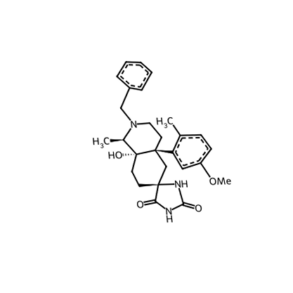 COc1ccc(C)c([C@]23CCN(Cc4ccccc4)[C@H](C)[C@]2(O)CC[C@@]2(C3)NC(=O)NC2=O)c1